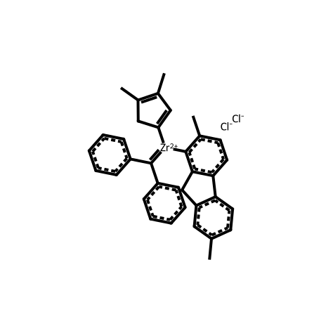 CC1=C(C)C[C]([Zr+2](=[C](c2ccccc2)c2ccccc2)[c]2c(C)ccc3c2Cc2cc(C)ccc2-3)=C1.[Cl-].[Cl-]